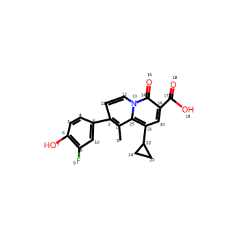 Cc1c(-c2ccc(O)c(F)c2)ccn2c(=O)c(C(=O)O)cc(C3CC3)c12